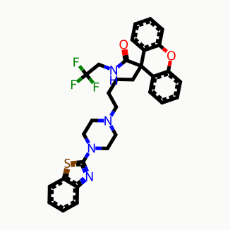 O=C(NCC(F)(F)F)C1(CCCCN2CCN(c3nc4ccccc4s3)CC2)c2ccccc2Oc2ccccc21